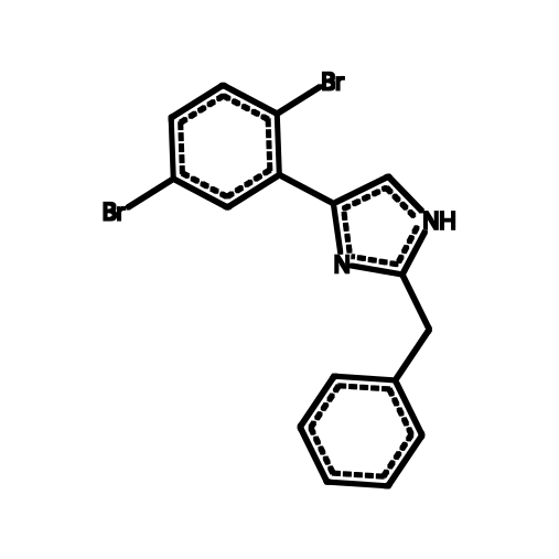 Brc1ccc(Br)c(-c2c[nH]c(Cc3ccccc3)n2)c1